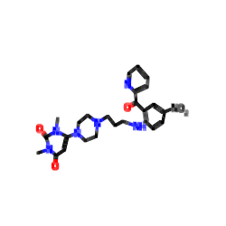 Cn1c(N2CCN(CCCNc3ccc([N+](=O)[O-])cc3C(=O)c3ccccn3)CC2)cc(=O)n(C)c1=O